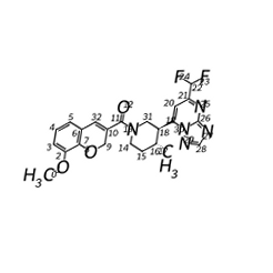 COc1cccc2c1OCC(C(=O)N1CC[C@@H](C)[C@H](c3cc(C(F)F)nc4ncnn34)C1)=C2